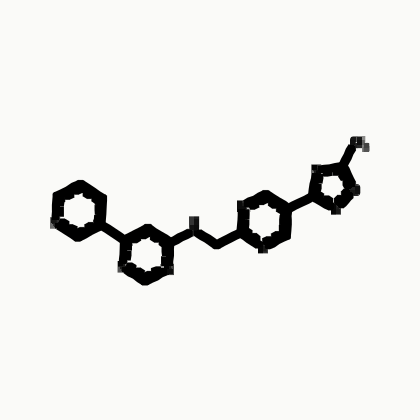 FC(F)(F)c1nc(-c2cnc(CNc3cc(-c4cccnc4)ncn3)nc2)no1